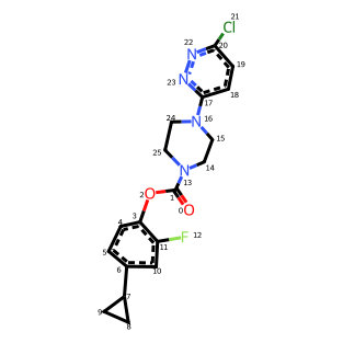 O=C(Oc1ccc(C2CC2)cc1F)N1CCN(c2ccc(Cl)nn2)CC1